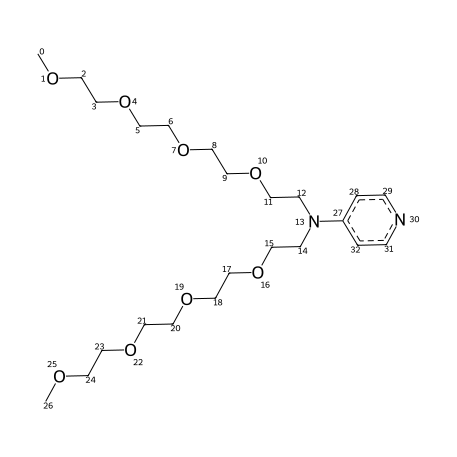 COCCOCCOCCOCCN(CCOCCOCCOCCOC)c1ccncc1